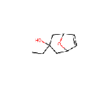 CCC1(O)CC2C=CC(C1)O2